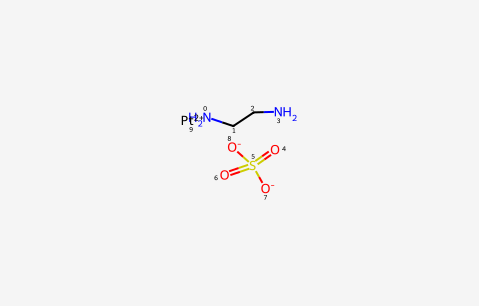 NCCN.O=S(=O)([O-])[O-].[Pt+2]